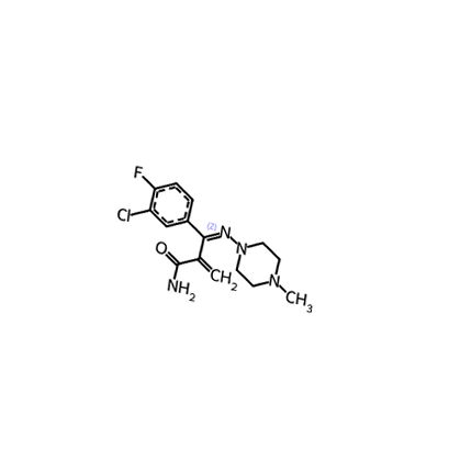 C=C(C(N)=O)/C(=N\N1CCN(C)CC1)c1ccc(F)c(Cl)c1